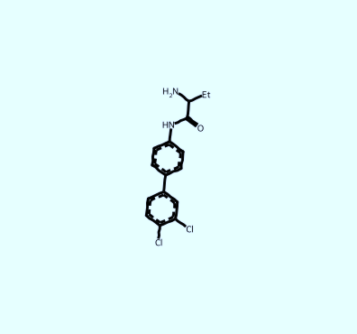 CCC(N)C(=O)Nc1ccc(-c2ccc(Cl)c(Cl)c2)cc1